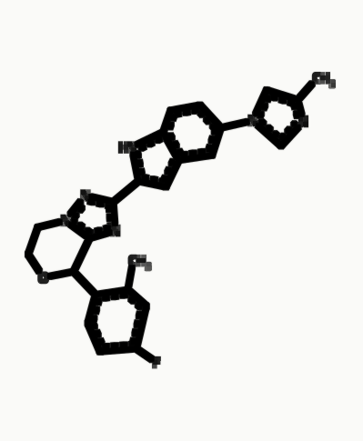 Cc1cn(-c2ccc3[nH]c(-c4nc5n(n4)CCOC5c4ccc(F)cc4C)cc3c2)cn1